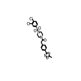 Cc1nc(-c2ccc(CC(=O)N3CCN(S(=O)(=O)c4ccc(Cl)c(Cl)c4)CC3)cc2)no1